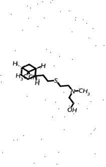 CN(CCO)CCSCC[C@@H]1CC[C@H]2C[C@H]1C2(C)C